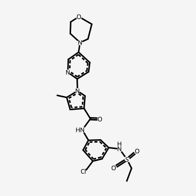 CCS(=O)(=O)Nc1cc(Cl)cc(NC(=O)c2cc(C)n(-c3ccc(N4CCOCC4)cn3)c2)c1